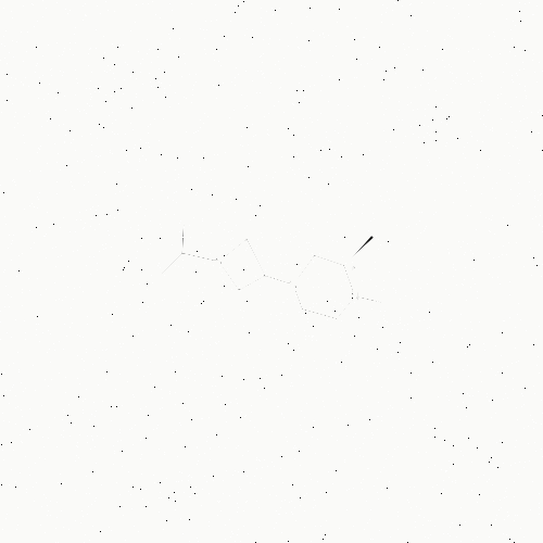 CC(C)N1CC(N2CCN(C)[C@H](C)C2)C1